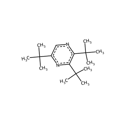 CC(C)(C)c1cnc(C(C)(C)C)c(C(C)(C)C)n1